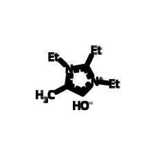 CCc1n(CC)c(C)c[n+]1CC.[OH-]